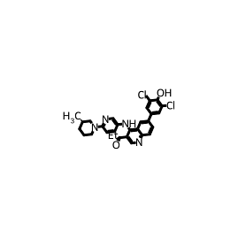 CCC(=O)c1cnc2ccc(-c3cc(Cl)c(O)c(Cl)c3)cc2c1Nc1ccc(N2CCC[C@H](C)C2)nc1